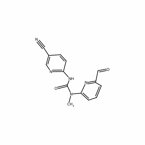 CN(C(=O)Nc1ccc(C#N)cn1)c1cccc(C=O)n1